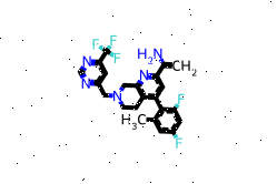 C=C(N)c1cc(-c2c(C)cc(F)cc2F)c2c(n1)CN(Cc1cc(C(F)(F)F)ncn1)CC2